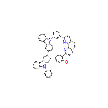 COc1ccccc1-c1ccc2ccc3ccc(-c4cccc(-n5c6ccccc6c6cc(-c7ccc8c(c7)c7ccccc7n8-c7ccccc7)ccc65)c4)nc3c2n1